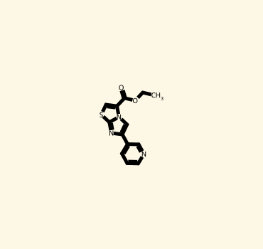 CCOC(=O)c1csc2nc(-c3cccnc3)cn12